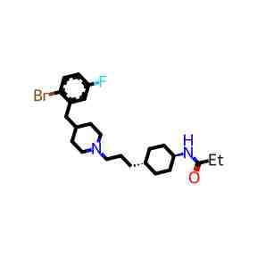 CCC(=O)N[C@H]1CC[C@H](CCCN2CCC(Cc3cc(F)ccc3Br)CC2)CC1